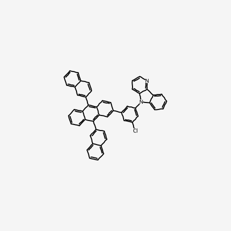 Clc1cc(-c2ccc3c(-c4ccc5ccccc5c4)c4ccccc4c(-c4ccc5ccccc5c4)c3c2)cc(-n2c3ccccc3c3ncccc32)c1